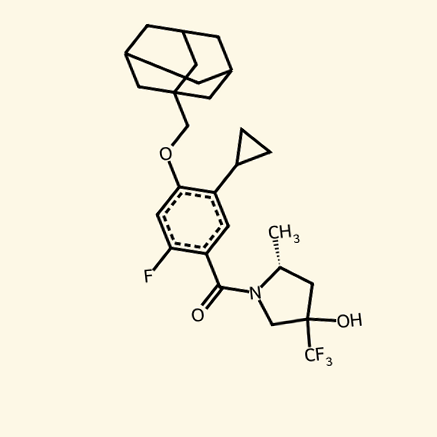 C[C@@H]1CC(O)(C(F)(F)F)CN1C(=O)c1cc(C2CC2)c(OCC23CC4CC(CC(C4)C2)C3)cc1F